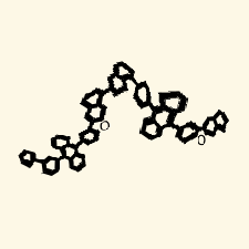 c1ccc(-c2cccc(-c3c4ccccc4c(-c4ccc5oc6cc7c(-c8ccc9c(-c%10ccc(-c%11c%12ccccc%12c(-c%12ccc%13oc%14cc%15ccccc%15cc%14c%13c%12)c%12ccccc%11%12)cc%10)cccc9c8)cccc7cc6c5c4)c4ccccc34)c2)cc1